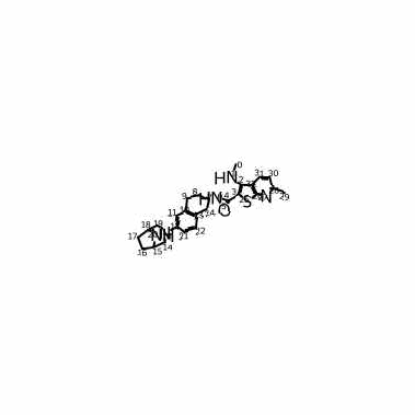 CNc1c(C(=O)NC2CCc3cc(N4CC5CCC(C4)N5)ccc3C2)sc2nc(C)ccc12